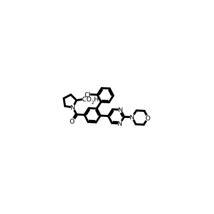 O=C(O)C1CCCN1C(=O)c1ccc(-c2cnc(N3CCOCC3)nc2)c(-c2ccccc2Cl)c1